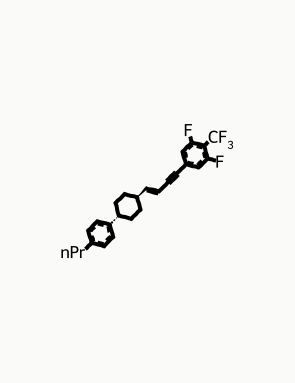 CCCc1ccc([C@H]2CC[C@H](C=CC#Cc3cc(F)c(C(F)(F)F)c(F)c3)CC2)cc1